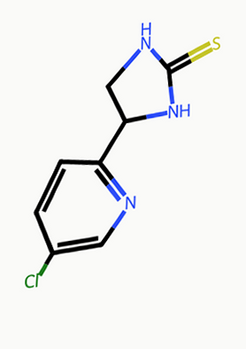 S=C1NCC(c2ccc(Cl)cn2)N1